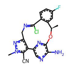 C[C@H]1Oc2nc(cnc2N)-c2c(nn(C)c2C#N)C/N=C(\Cl)c2ccc(F)cc21